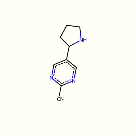 N#Cc1ncc(C2CCCN2)cn1